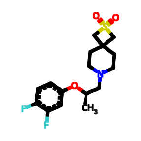 C[C@H](CN1CCC2(CC1)CS(=O)(=O)C2)Oc1ccc(F)c(F)c1